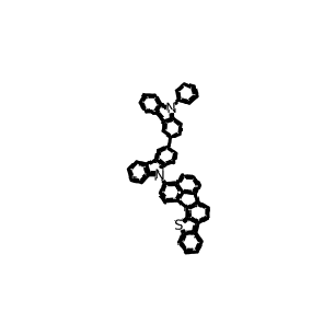 c1ccc(-n2c3ccccc3c3cc(-c4ccc5c(c4)c4ccccc4n5-c4ccc5c6c(cccc46)-c4ccc6c(sc7ccccc76)c4-5)ccc32)cc1